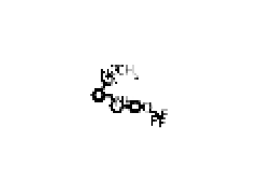 COc1ncc(-c2ccccc2CC2CCCC(c3ccc(OCCC(F)(F)F)cc3)N2)cn1